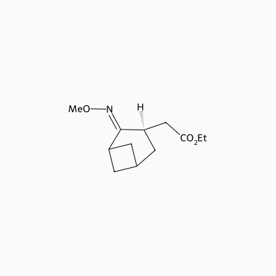 CCOC(=O)C[C@H]1CC2CC(C2)C1=NOC